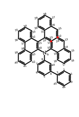 c1ccc(-c2cccc(N(c3cccc4ccccc34)c3c(-c4cccc5ccccc45)c4ccccc4c4ccccc34)c2)cc1